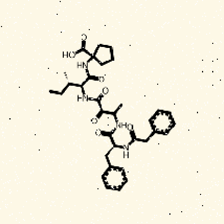 CC[C@H](C)C(NC(=O)C(=O)C(C)NC(=O)[C@H](Cc1ccccc1)NC(=O)Cc1ccccc1)C(=O)NC1(C(=O)O)CCCC1